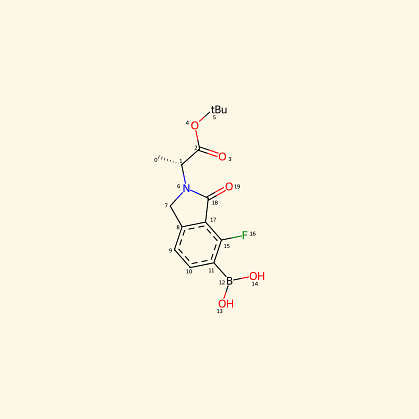 C[C@H](C(=O)OC(C)(C)C)N1Cc2ccc(B(O)O)c(F)c2C1=O